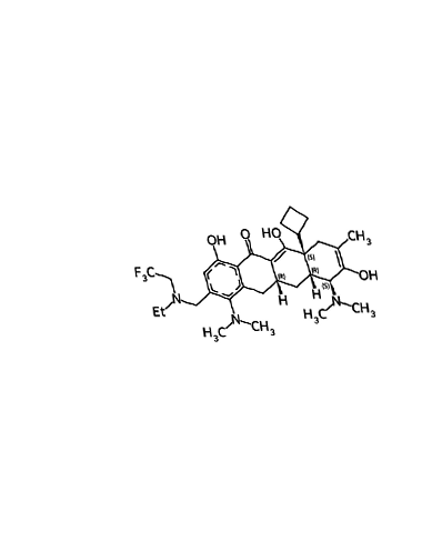 CCN(Cc1cc(O)c2c(c1N(C)C)C[C@H]1C[C@H]3[C@H](N(C)C)C(O)=C(C)C[C@@]3(C3CCC3)C(O)=C1C2=O)CC(F)(F)F